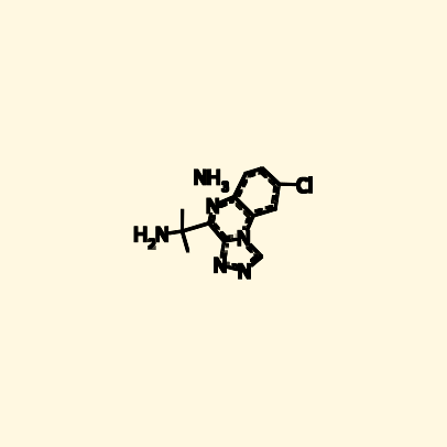 CC(C)(N)c1nc2ccc(Cl)cc2n2cnnc12.N